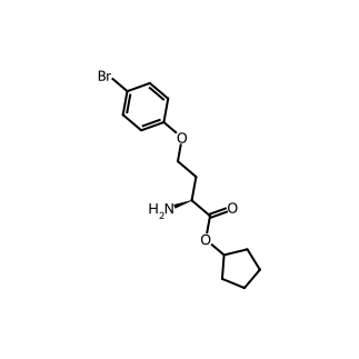 N[C@@H](CCOc1ccc(Br)cc1)C(=O)OC1CCCC1